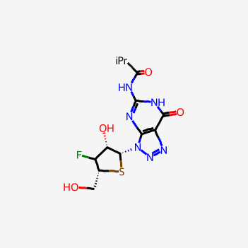 CC(C)C(=O)Nc1nc2c(nnn2[C@@H]2S[C@H](CO)C(F)[C@@H]2O)c(=O)[nH]1